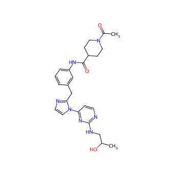 CC(=O)N1CCC(C(=O)Nc2cccc(Cc3nccn3-c3ccnc(NCC(C)O)n3)c2)CC1